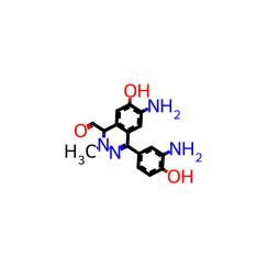 CN1N=C(c2ccc(O)c(N)c2)c2cc(N)c(O)cc2C1C=O